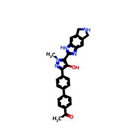 CC(=O)c1ccc(-c2ccc(-c3nn(C)c(-c4nc5cc6c(cc5[nH]4)CNC6)c3O)cc2)cc1